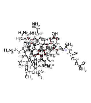 CCC(C)C(NC(=O)C(CO)NC(=O)C(CCCCN)NC(=O)C(CCCNC(=N)N)NC(=O)C(Cc1ccccc1)NC(=O)C(Cc1ccccc1)NC(=O)CO/N=C(\C)CCC(=O)OCOC(N)=O)C(=O)NC(C(=O)NC(CC(N)=O)C(=O)NC(Cc1ccccc1)C(=O)NC(CCC(=O)O)C(=O)NC(CCCCN)C(=O)NC(CC(C)C)C(=O)O)C(C)CC